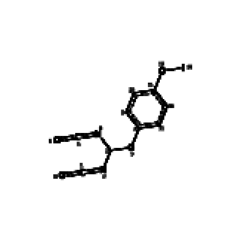 O=C=NC(N=C=O)Oc1ccc(OI)cc1